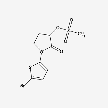 CS(=O)(=O)OC1CCN(c2ccc(Br)s2)C1=O